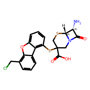 N[C@@H]1C(=O)N2CC(Sc3cccc4oc5c(CCl)cccc5c34)(C(=O)O)CS[C@H]12